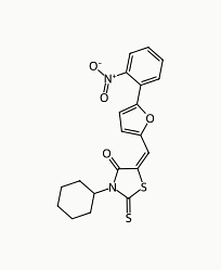 O=C1/C(=C\c2ccc(-c3ccccc3[N+](=O)[O-])o2)SC(=S)N1C1CCCCC1